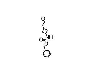 O=CCC1CC(NC(=O)OCc2ccccc2)C1